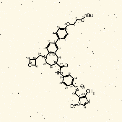 CCCCOCCOc1ccc(-c2ccc3c(c2)CC(C(=O)Nc2ccc([S@+]([O-])Cc4c(C)ncn4CC)cc2)CCN3CC2COC2)cc1